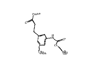 COC(=O)CCc1cc(NC(=O)OC(C)(C)C)cc(OC)c1